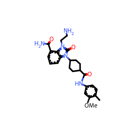 COc1cc(NC(=O)C2CCC(n3c(=O)n(CCN)c4c(C(N)=O)cccc43)CC2)ccc1C